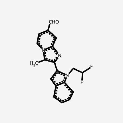 Cc1c(-c2cc3ccccc3n2CC(F)F)nc2cc(C=O)ccn12